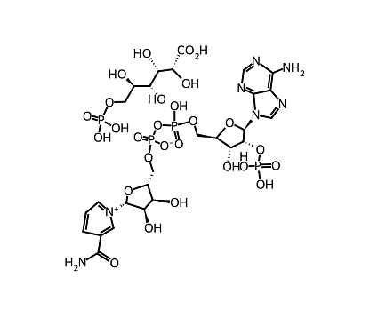 NC(=O)c1ccc[n+]([C@@H]2O[C@H](COP(=O)([O-])OP(=O)(O)OC[C@H]3O[C@@H](n4cnc5c(N)ncnc54)[C@H](OP(=O)(O)O)[C@@H]3O)[C@@H](O)[C@H]2O)c1.O=C(O)[C@H](O)[C@@H](O)[C@H](O)[C@H](O)COP(=O)(O)O